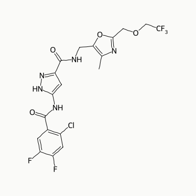 Cc1nc(COCC(F)(F)F)oc1CNC(=O)c1cc(NC(=O)c2cc(F)c(F)cc2Cl)[nH]n1